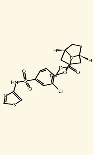 CC(C)(C)OC(=O)N1[C@@H]2CC[C@H]1C[C@H](Oc1ccc(S(=O)(=O)Nc3cscn3)cc1Cl)C2